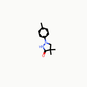 Cc1ccc(N2CC(C)(C)C(=O)N2)cc1